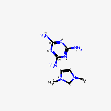 CCN1C=CN(C)C1.Nc1nc(N)nc(N)n1